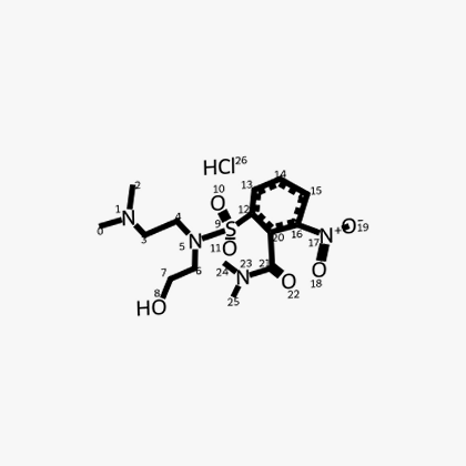 CN(C)CCN(CCO)S(=O)(=O)c1cccc([N+](=O)[O-])c1C(=O)N(C)C.Cl